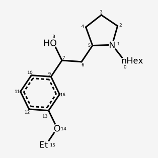 CCCCCCN1CCCC1CC(O)c1cccc(OCC)c1